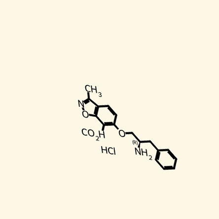 Cc1noc2c(C(=O)O)c(OC[C@H](N)Cc3ccccc3)ccc12.Cl